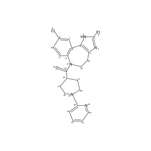 CCc1nc2c([nH]1)-c1cc(Cl)ccc1N(C(=O)C1CCN(c3ccccn3)CC1)CC2